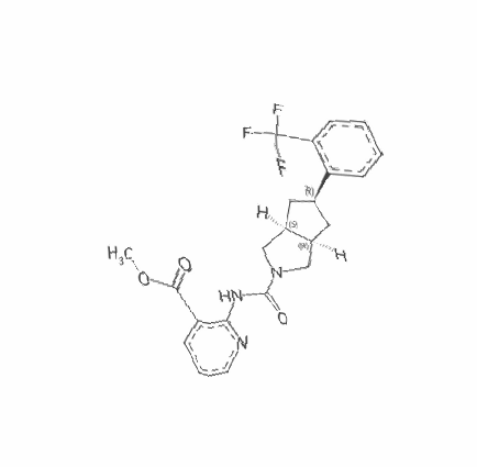 COC(=O)c1cccnc1NC(=O)N1C[C@H]2C[C@@H](c3ccccc3C(F)(F)F)C[C@H]2C1